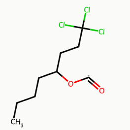 CCCCC(CCC(Cl)(Cl)Cl)O[C]=O